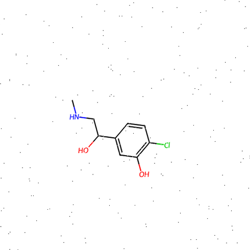 CNCC(O)c1ccc(Cl)c(O)c1